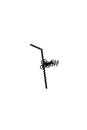 CCCCCCCCCC/C=C\CCCCCCCCCC(=O)O[C@H](COC(=O)CCCCCCCCCCCCCCCCCCC)COP(=O)(O)OC[C@@H](O)CO